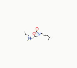 CCCN(C)C[C@H]1CN(CCCC(C)C)C(=O)O1